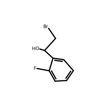 OC(CBr)c1ccccc1F